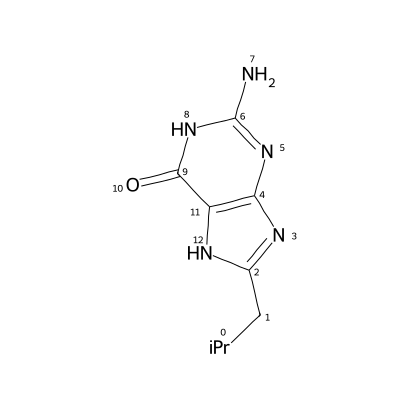 CC(C)Cc1nc2nc(N)[nH]c(=O)c2[nH]1